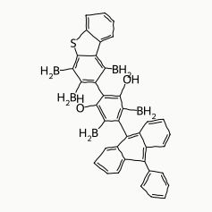 Bc1c(O)c(-c2c(B)c(B)c3sc4ccccc4c3c2B)c(O)c(B)c1-c1c2ccccc2c(-c2ccccc2)c2ccccc12